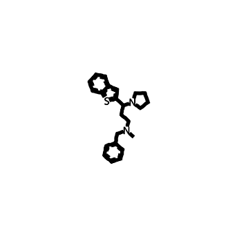 CN(CCC(c1cc2ccccc2s1)N1CCCC1)Cc1ccccc1